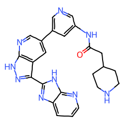 O=C(CC1CCNCC1)Nc1cncc(-c2cnc3[nH]nc(-c4nc5cccnc5[nH]4)c3c2)c1